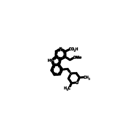 COCc1c(C(=O)O)ncc2[nH]c3cccc(CN4CC(C)OC(C)C4)c3c12